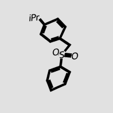 CC(C)c1ccc(CS(=O)(=O)c2ccccc2)cc1